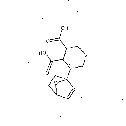 O=C(O)C1CCCC(C23C=CC(CC2)O3)C1C(=O)O